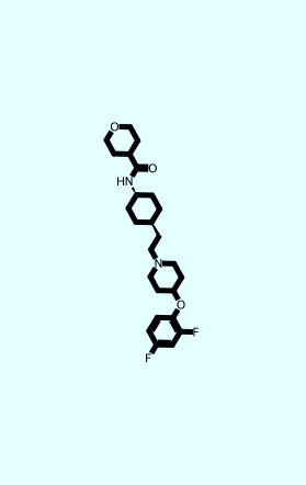 O=C(N[C@H]1CC[C@H](CCN2CCC(Oc3ccc(F)cc3F)CC2)CC1)C1CCOCC1